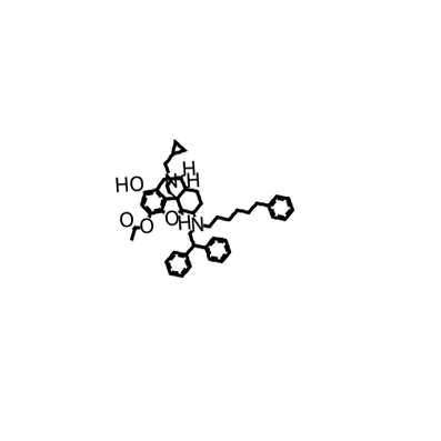 CC(=O)Oc1cc(O)c2c3c1O[C@H]1[C@H](N(CCCCCCc4ccccc4)CC(c4ccccc4)c4ccccc4)CC[C@H]4[C@@H](C2)N(CC2CC2)CC[C@@]341